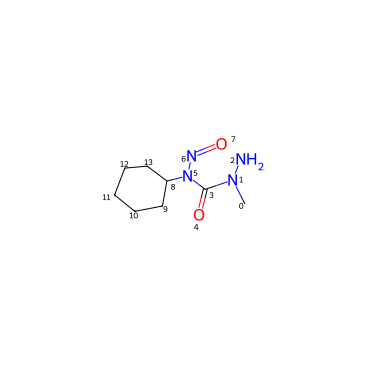 CN(N)C(=O)N(N=O)C1CCCCC1